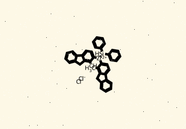 Cc1[c]([Zr+2]([c]2ccc3c(c2C)Cc2ccccc2-3)[SiH](c2ccccc2)c2ccccc2)ccc2c1Cc1ccccc1-2.[Cl-].[Cl-]